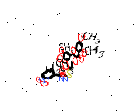 COc1cc(OC)c2c(=O)c(OCCCSc3nnc(-c4cccc([N+](=O)[O-])c4)o3)c(-c3cc(OC)c(OC)c(OC)c3)oc2c1